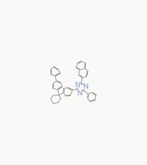 c1ccc(-c2ccc(C3(c4ccc(-c5nc(-c6ccccc6)nc(-c6ccc7ccccc7c6)n5)cc4)CCCCC3)cc2)cc1